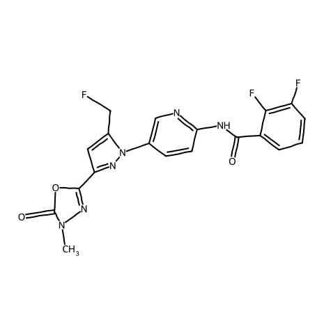 Cn1nc(-c2cc(CF)n(-c3ccc(NC(=O)c4cccc(F)c4F)nc3)n2)oc1=O